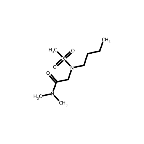 CCCCN(CC(=O)N(C)C)S(C)(=O)=O